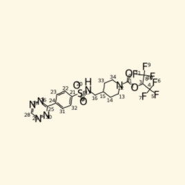 O=C(OC(C(F)(F)F)C(F)(F)F)N1CCC(CNS(=O)(=O)c2ccc(-c3nncnn3)cc2)CC1